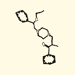 CCOC(CN1CCN(CC(C)C(=O)c2ccccc2)CC1)c1ccccc1